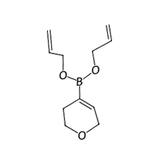 C=CCOB(OCC=C)C1=CCOCC1